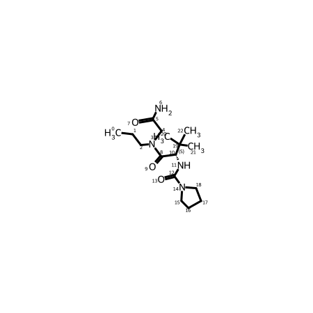 CCCN(CC(N)=O)C(=O)[C@@H](NC(=O)N1CCCC1)C(C)(C)C